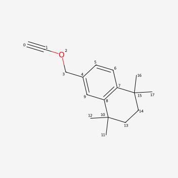 C#COCc1ccc2c(c1)C(C)(C)CCC2(C)C